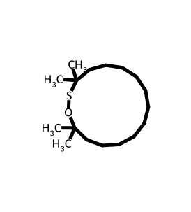 CC1(C)CCCCCCCCCCCC(C)(C)SO1